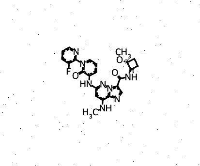 CNc1cc(Nc2cccn(-c3ncccc3F)c2=O)nn2c(C(=O)N[C@@H]3CC[C@H]3OC)cnc12